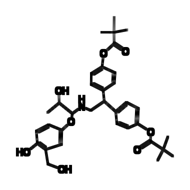 CC(O)C(NCC(c1ccc(OC(=O)C(C)(C)C)cc1)c1ccc(OC(=O)C(C)(C)C)cc1)Oc1ccc(O)c(CO)c1